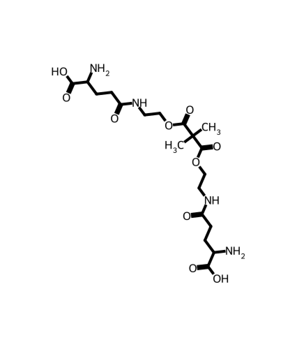 CC(C)(C(=O)OCCNC(=O)CCC(N)C(=O)O)C(=O)OCCNC(=O)CCC(N)C(=O)O